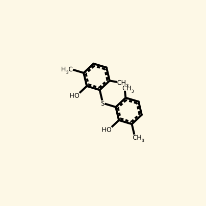 Cc1ccc(C)c(Sc2c(C)ccc(C)c2O)c1O